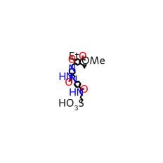 CCOc1cc(C(=O)OC)c(C2CC2)cc1CN1CCC2(CC1)CN(c1ccc(C(=O)NCCCS(=O)(=O)O)cc1)C(=O)N2